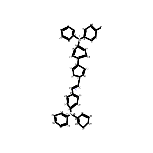 Cc1ccc(N(c2ccccc2)c2ccc(C3=CCC(/C=C/c4ccc(N(C5=CCCC=C5)c5ccccc5)cc4)C=C3)cc2)cc1